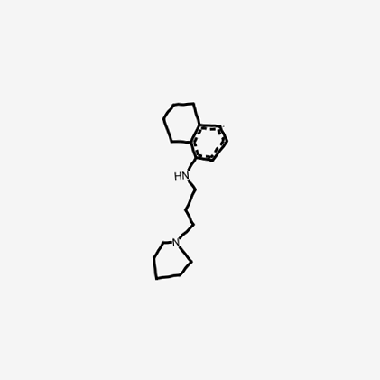 [c]1ccc(NCCCN2CCCCC2)c2c1CCCC2